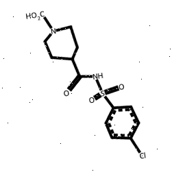 O=C(NS(=O)(=O)c1ccc(Cl)cc1)C1CCN(C(=O)O)CC1